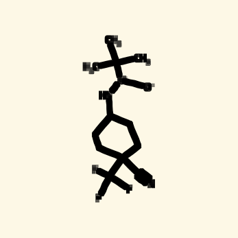 CC(C)(C)[S+]([O-])NC1CCC(C#N)(C(F)(F)F)CC1